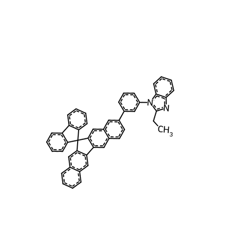 CCc1nc2ccccc2n1-c1cccc(-c2ccc3cc4c(cc3c2)C2(c3ccccc3-c3ccccc32)c2cc3ccccc3cc2-4)c1